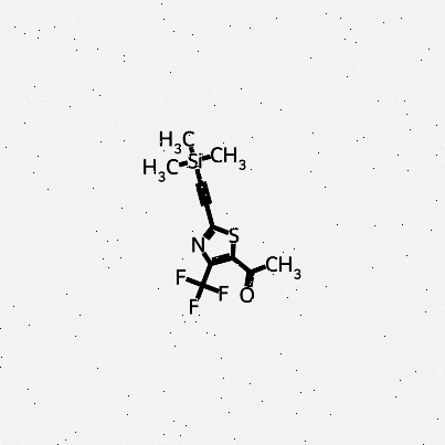 CC(=O)c1sc(C#C[Si](C)(C)C)nc1C(F)(F)F